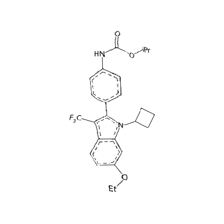 CCOc1ccc2c(C(F)(F)F)c(-c3ccc(NC(=O)OC(C)C)cc3)n(C3CCC3)c2c1